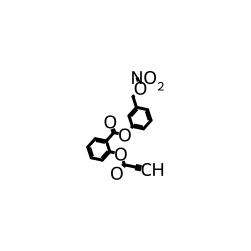 C#CC(=O)Oc1ccccc1C(=O)Oc1cccc(CO[N+](=O)[O-])c1